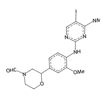 CNc1nc(Nc2ccc(C3CN(C=O)CCO3)cc2OC)ncc1I